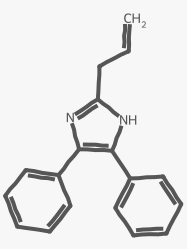 C=CCc1nc(-c2ccccc2)c(-c2ccccc2)[nH]1